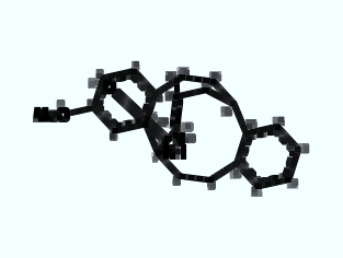 COc1ccc2c(c1)C13CCc4ccccc4C(C/C=C/1N(C)C(=O)N3)CC2